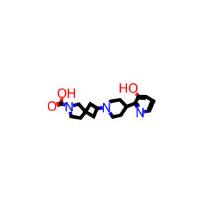 O=C(O)N1CCC2(CC(N3CCC(c4ncccc4O)CC3)C2)C1